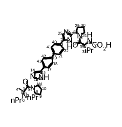 CCCN(CCC)[C@@H](C)C(=O)N1CCC[C@H]1c1ncc(-c2ccc(-c3ccc(-c4cnc([C@@H]5CCCN5C(=O)[C@@H](NC(=O)O)C(C)C)[nH]4)cc3)cc2)[nH]1